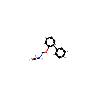 S=C=NCOc1ccccc1-c1ccccc1